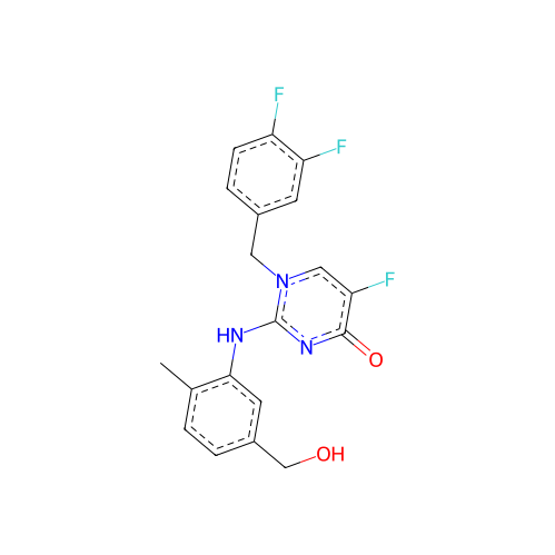 Cc1ccc(CO)cc1Nc1nc(=O)c(F)cn1Cc1ccc(F)c(F)c1